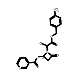 O=C(S[C@@H]1CC(=O)N1C(Cl)C(=O)OCc1ccc([N+](=O)[O-])cc1)c1cccnc1